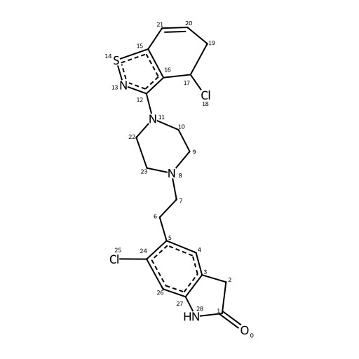 O=C1Cc2cc(CCN3CCN(c4nsc5c4C(Cl)CC=C5)CC3)c(Cl)cc2N1